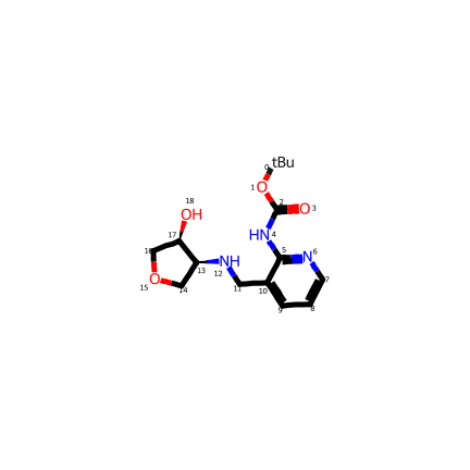 CC(C)(C)OC(=O)Nc1ncccc1CN[C@H]1COC[C@H]1O